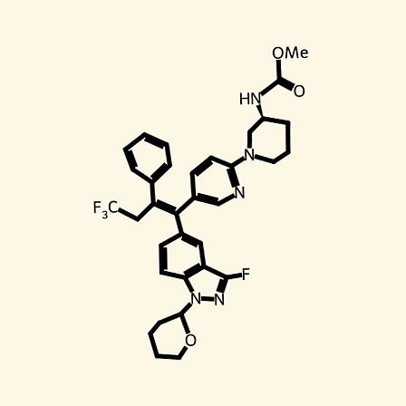 COC(=O)N[C@H]1CCCN(c2ccc(/C(=C(/CC(F)(F)F)c3ccccc3)c3ccc4c(c3)c(F)nn4C3CCCCO3)cn2)C1